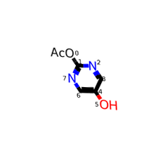 CC(=O)Oc1ncc(O)cn1